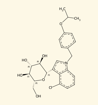 CC(C)Oc1ccc(Cn2cc([C@@H]3O[C@H](CO)[C@@H](O)[C@H](O)[C@H]3O)c3c(Cl)cccc32)cc1